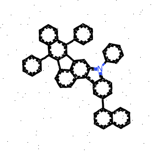 c1ccc(-c2c3c(c(-c4ccccc4)c4ccccc24)-c2cc4c(c5cccc-3c25)c2cc(-c3cccc5ccccc35)ccc2n4-c2ccccc2)cc1